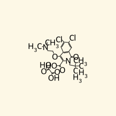 CN(C)CCOc1c(C(=O)O)n(CC(C)(C)C)c(=O)c2cc(Cl)c(Cl)cc12.O=C(O)C(=O)O